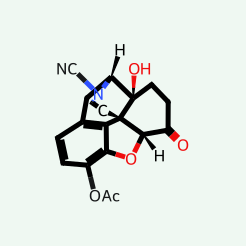 CC(=O)Oc1ccc2c3c1O[C@H]1C(=O)CC[C@@]4(O)[C@@H](C2)N(C#N)CC[C@]314